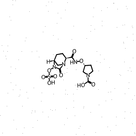 O=C(NO[C@@H]1CCN(C(=O)O)C1)[C@@H]1CC[C@@H]2CN1C(=O)N2OS(=O)(=O)O